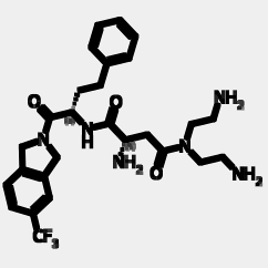 NCCN(CCN)C(=O)C[C@H](N)C(=O)N[C@@H](CCc1ccccc1)C(=O)N1Cc2ccc(C(F)(F)F)cc2C1